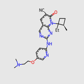 CCC1(n2c(=O)c(C#N)cc3cnc(Nc4ccc(OCCN(C)C)cn4)nc32)CC[C@H]1C